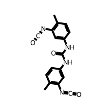 Cc1ccc(NC(=O)Nc2ccc(C)c(N=C=O)c2)cc1N=C=O